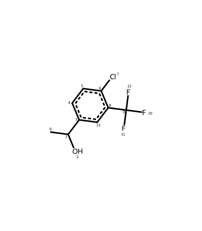 CC(O)c1ccc(Cl)c(C(F)(F)F)c1